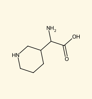 NC(C(=O)O)C1CCCNC1